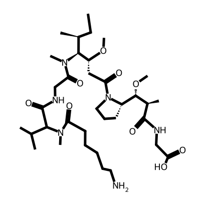 CC[C@H](C)[C@@H]([C@@H](CC(=O)N1CCC[C@H]1[C@H](OC)[C@@H](C)C(=O)NCC(=O)O)OC)N(C)C(=O)CNC(=O)C(C(C)C)N(C)C(=O)CCCCCN